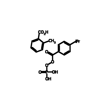 CC(C)c1ccc(C(=O)OOP(=O)(O)O)cc1.Cc1ccccc1C(=O)O